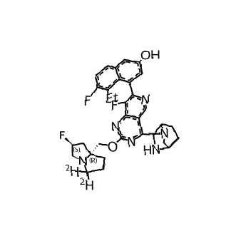 [2H]C1([2H])CC[C@]2(COc3nc(N4CC5CCC4CN5)c4cnc(-c5cc(O)cc6ccc(F)c(CC)c56)c(F)c4n3)C[C@H](F)CN12